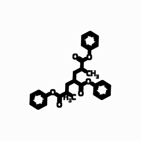 CC(CC(CC(C)C(=O)Oc1ccccc1)C(=O)Oc1ccccc1)C(=O)Oc1ccccc1